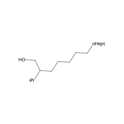 CCCCCCCCCCCCC(CO)[C](C)C